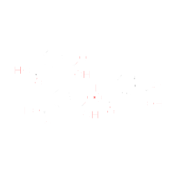 O=C(O)c1cccc(C(=O)O)c1.O=C(O)c1cccc(C(=O)O)c1.O=C(O)c1cccc(C(=O)O)c1